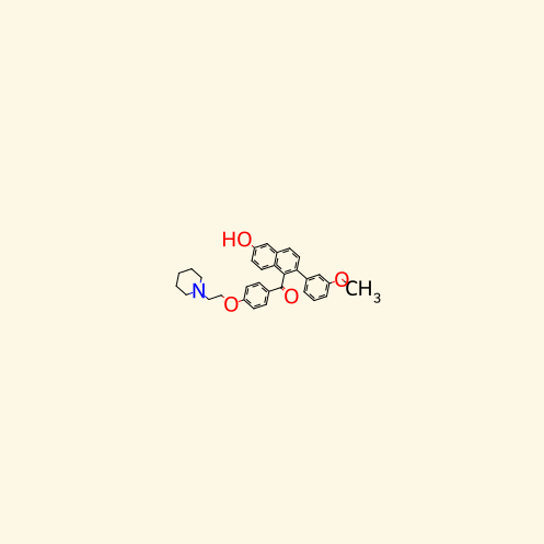 COc1cccc(-c2ccc3cc(O)ccc3c2C(=O)c2ccc(OCCN3CCCCC3)cc2)c1